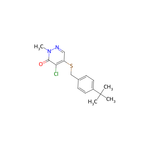 Cn1ncc(SCc2ccc(C(C)(C)C)cc2)c(Cl)c1=O